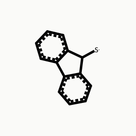 [S]C1c2ccccc2-c2ccccc21